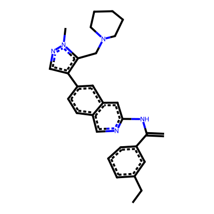 C=C(Nc1cc2cc(-c3cnn(C)c3CN3CCCCC3)ccc2cn1)c1cccc(CC)c1